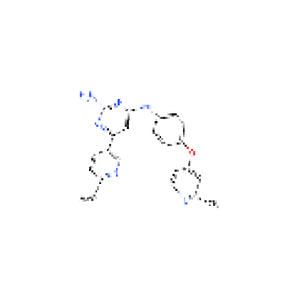 COc1ccc(-c2cc(Nc3ccc(Oc4ccnc(C(F)(F)F)c4)cc3)nc(N)n2)cn1